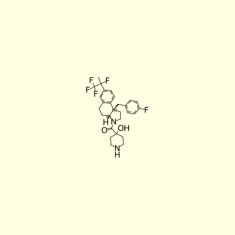 CC(F)(c1ccc2c(c1)CC[C@H]1N(C(=O)C3(O)CCNCC3)CC[C@@]21Cc1ccc(F)cc1)C(F)(F)F